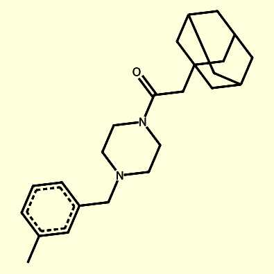 Cc1cccc(CN2CCN(C(=O)CC34CC5CC(CC(C5)C3)C4)CC2)c1